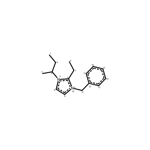 CCc1n(C(C)CC)cc[n+]1Cc1ccccc1